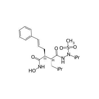 CC(C)C[C@@H](C(=O)NN(C(C)C)S(C)(=O)=O)[C@H](CC=Cc1ccccc1)C(=O)NO